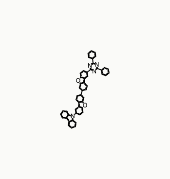 c1ccc(-c2nc(-c3ccccc3)nc(-c3ccc4oc5cc(-c6ccc7c(c6)oc6ccc(-n8c9ccccc9c9ccccc98)cc67)ccc5c4c3)n2)cc1